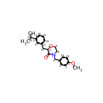 COc1ccc(CN2CCOC(Cc3cccc(C(C)C)c3)C2=O)cc1